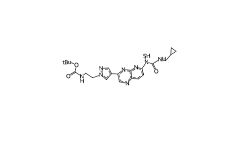 CC(C)(C)OC(=O)NCCn1cc(-c2cnc3ccc(N(S)C(=O)NCC4CC4)nc3n2)cn1